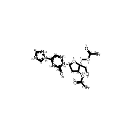 CC(C)C(=O)OC[C@@]1(CCl)O[C@@H](n2ncc(-n3cncn3)nc2=O)C[C@@H]1OC(=O)C(C)C